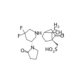 CC1(C)C2CC[C@@]1(CS(=O)(=O)O)C(=O)C2.O=C1CCCN1[C@H]1CNCC(F)(F)C1